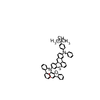 C[Si](C)(C)c1ccc(N(c2ccccc2)c2ccc3cc4c5c(cccc5c3c2)Sc2cc(N(c3ccccc3-c3ccccc3)c3cccc5c3oc3ccccc35)ccc2-4)cc1